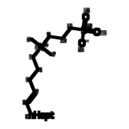 CCCCCCCC=CCCC[N+](C)(C)CCCS(=O)(=O)[O-]